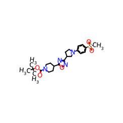 CC(C)(C)OC(=O)N1CCC(c2nc(C3CCN(c4ccc(S(C)(=O)=O)cc4)C3)no2)CC1